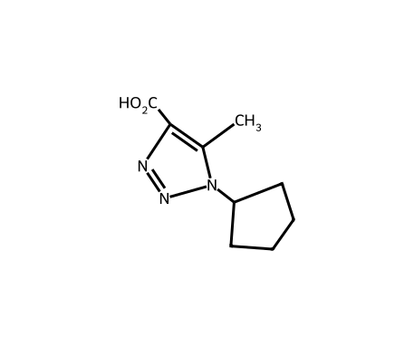 Cc1c(C(=O)O)nnn1C1CCCC1